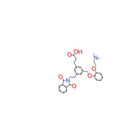 CN(C)CCOc1ccccc1OCc1cc(CCC(=O)O)cc(CCN2C(=O)c3ccccc3C2=O)c1